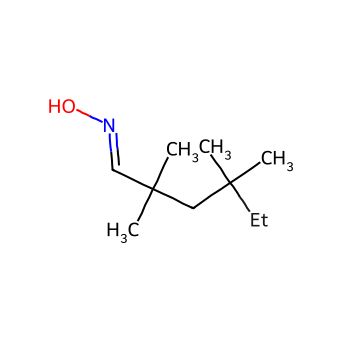 CCC(C)(C)CC(C)(C)C=NO